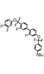 CCCCc1ccc(C(F)(F)Oc2ccc(-c3ccc(C(F)(F)Oc4ccc(F)c(F)c4)c(F)c3)c(F)c2)cc1